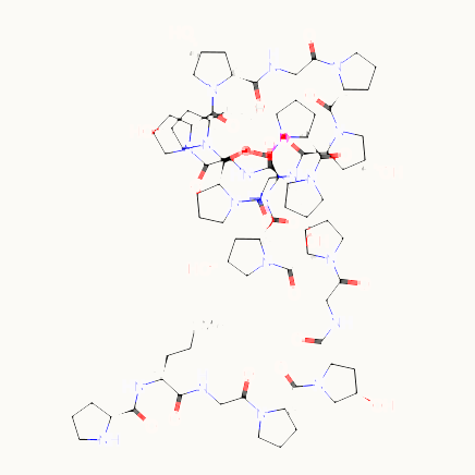 CSCC[C@H](NC(=O)[C@@H]1CCCN1)C(=O)NCC(=O)N1CCC[C@H]1C(=O)N1C[C@H](O)C[C@H]1C(=O)NCC(=O)N1CCC[C@H]1C(=O)N1C[C@H](O)C[C@H]1C(=O)NCC(=O)N1CCC[C@H]1C(=O)N1C[C@H](O)C[C@H]1C(=O)NCC(=O)N1CCC[C@H]1C(=O)N1C[C@H](O)C[C@H]1C(=O)NCC(=O)N1CCC[C@H]1C(=O)N1C[C@H](O)C[C@H]1C(=O)NCC(=O)N1CCC[C@H]1C(=O)N1C[C@H](O)C[C@H]1C(=O)O